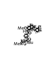 CN[C@@H](C)C(=O)N[C@H](C(=O)N1CCC[C@H](C(=O)Nc2cc3c(Nc4ccc(F)c(Cl)c4F)ncnc3cc2OC)C1)C(C)(C)C